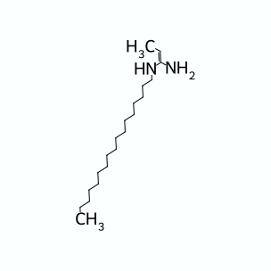 CC=C(N)NCCCCCCCCCCCCCCCCC